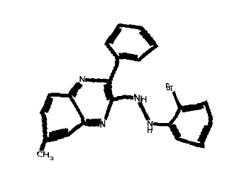 Cc1ccc2nc(-c3ccccc3)c(NNc3ccccc3Br)nc2c1